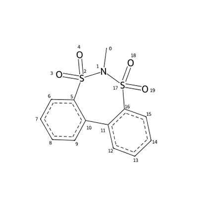 CN1S(=O)(=O)c2ccccc2-c2ccccc2S1(=O)=O